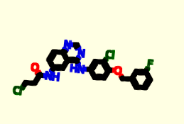 O=C(CCCl)Nc1ccc2ncnc(Nc3ccc(OCc4cccc(F)c4)c(Cl)c3)c2c1